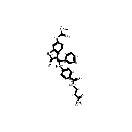 COC(=O)Oc1ccc2c(c1)NC(=O)/C2=C(\Nc1ccc(C(=O)NCCC(N)=O)cc1)c1ccccc1